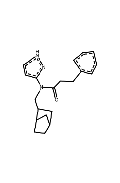 O=C(CCc1ccccc1)N(CC1CC2CCC1C2)c1cc[nH]n1